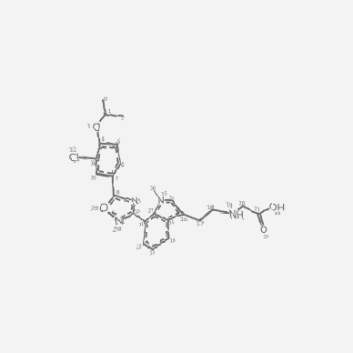 CC(C)Oc1ccc(-c2nc(-c3cccc4c(CCNCC(=O)O)cn(C)c34)no2)cc1Cl